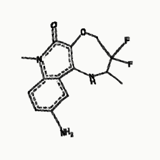 CC1Nc2c(c(=O)n(C)c3ccc(N)cc23)OCC1(F)F